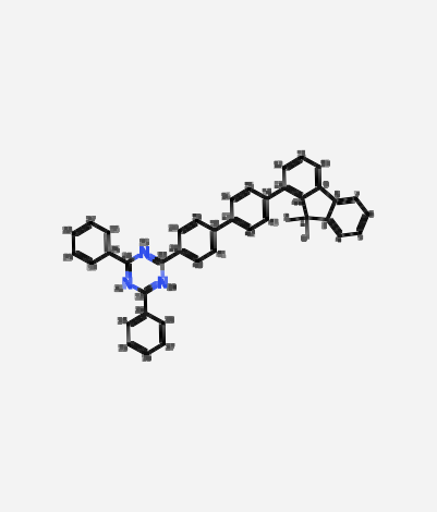 CC1(C)c2ccccc2-c2cccc(-c3ccc(-c4ccc(-c5nc(-c6ccccc6)nc(-c6ccccc6)n5)cc4)cc3)c21